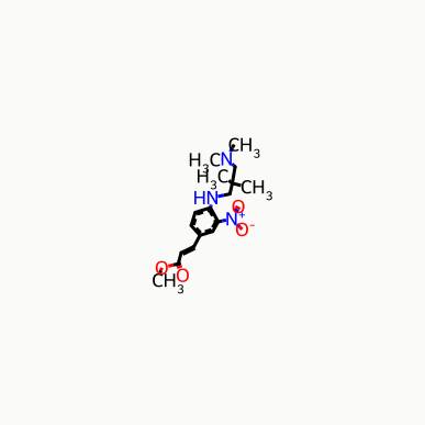 COC(=O)C=Cc1ccc(NCC(C)(C)CN(C)C)c([N+](=O)[O-])c1